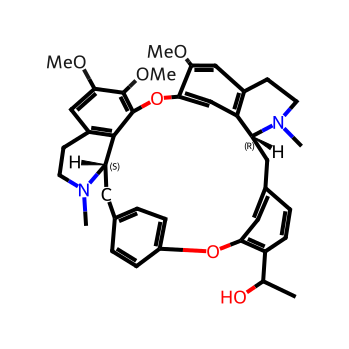 COc1cc2c3cc1Oc1c(OC)c(OC)cc4c1[C@H](Cc1ccc(cc1)Oc1cc(ccc1C(C)O)C[C@H]3N(C)CC2)N(C)CC4